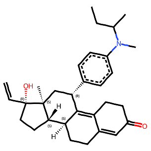 C=C[C@]1(O)CC[C@H]2[C@@H]3CCC4=CC(=O)CCC4=C3[C@@H](c3ccc(N(C)C(C)CC)cc3)C[C@@]21C